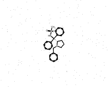 CS(=O)(=O)NC(c1ccccc1)(c1ccccc1)[C@@H]1CCCN1Cc1ccccc1